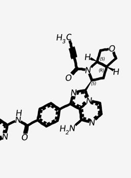 CC#CC(=O)N1[C@@H]2COC[C@@H]2C[C@H]1c1nc(-c2ccc(C(=O)Nc3ccccn3)cc2)c2c(N)nccn12